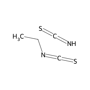 CCN=C=S.N=C=S